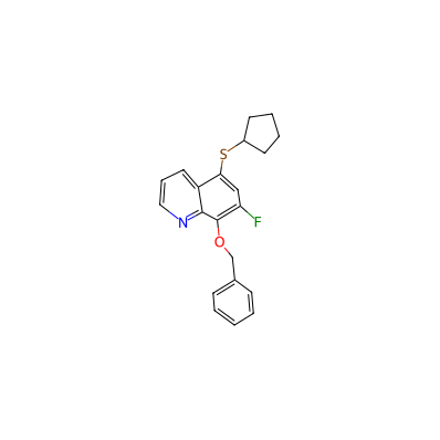 Fc1cc(SC2CCCC2)c2cccnc2c1OCc1ccccc1